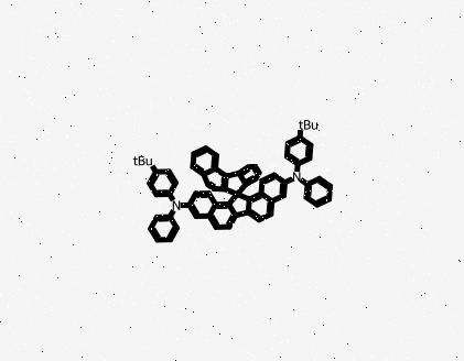 CC(C)(C)c1ccc(N(c2ccccc2)c2ccc3c4c(ccc3c2)-c2ccc3cc(N(c5ccccc5)c5ccc(C(C)(C)C)cc5)ccc3c2C42c3ccccc3-c3c2ccc2ccccc32)cc1